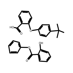 CC(C)(C)c1ccc(Oc2ccccc2C(=O)O)cc1.O=C(Oc1ccccc1)c1ccccc1O